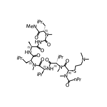 CCCC(=O)N(C)[C@H](SCCN(C)C)C(=O)N(C)[C@H](C(=O)N[C@H](C(=O)N(C)[C@@H](CC(C)C)C(=O)N[C@@H](C)C(=O)NC(=O)N(C)[C@@H](CC(C)C)C(=O)NC)C(C)C)C(C)C